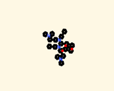 c1ccc(-c2ccc(N(c3ccc(-c4cccc5c4c4ccccc4n5-c4ccccc4)cc3)c3cc(-c4ccc5c(c4)C4(c6ccccc6-c6ccccc64)c4ccccc4-5)cc(N(c4ccc(-c5ccccc5)cc4)c4ccc(-c5cccc6c5c5ccccc5n6-c5ccccc5)cc4)c3)cc2)cc1